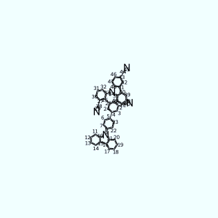 N#Cc1cc(-c2ccc(-n3c4ccccc4c4ccccc43)cc2)cc(-c2c(C#N)cccc2-n2c3ccccc3c3cc(C#N)ccc32)c1